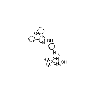 CC(C)(C)C1CN(c2ccc(Nc3ncc4c(n3)C3(CCCCC3)Oc3ccccc3-4)cc2)CCN1C(=O)O